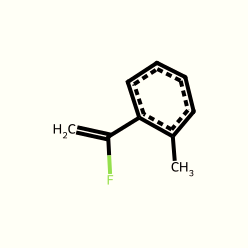 C=C(F)c1ccccc1C